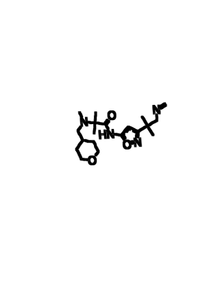 C=NCC(C)(C)c1cc(NC(=O)C(C)(C)N(C)CC2CCOCC2)on1